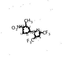 Cc1cc(-n2nc(C(F)(F)F)cc2C(F)(F)F)ccc1[N+](=O)[O-]